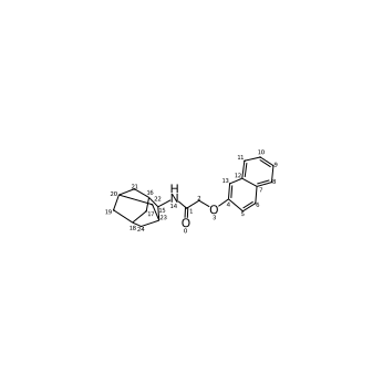 O=C(COc1ccc2ccccc2c1)NC1C2CC3CC(C2)CC1C3